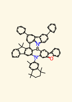 Cc1cc2c(cc1N1c3cc4oc5ccccc5c4cc3B3c4c1cc1c(c4-c4cc(-c5ccccc5)cc5c6cc(-c7ccccc7)ccc6n3c45)C(C)(C)c3ccccc3-1)C(C)(C)CCC2(C)C